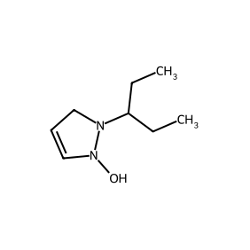 CCC(CC)N1CC=CN1O